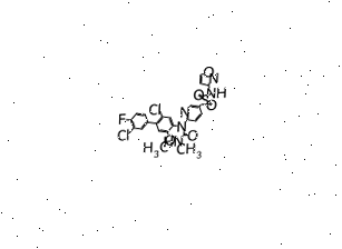 CNC(=O)N(c1ccc(S(=O)(=O)Nc2ccon2)cn1)c1cc(Cl)c(-c2ccc(F)c(Cl)c2)cc1OC